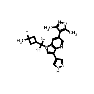 [2H]C([2H])(C1CC(C)(F)C1)n1cc(-c2cn[nH]c2)c2ncc(-c3c(C)noc3C)cc21